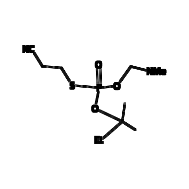 CCC(C)(C)OP(=O)(OCNC)SCCC#N